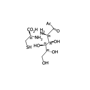 CC(=O)C(=O)[C@H](N)[C@@H](O)[C@H](O)[C@H](O)CO.N[C@@H](CS)C(=O)O